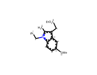 CCOC(=O)Cc1c(C)n(CC(C)C)c2ccc(OC)cc12